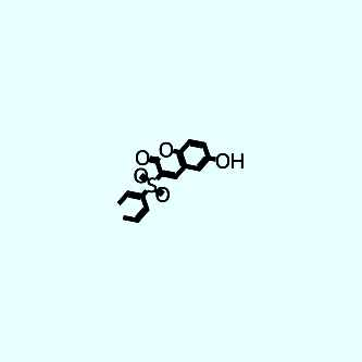 C/C=C\C(=C/C)S(=O)(=O)c1cc2cc(O)ccc2oc1=O